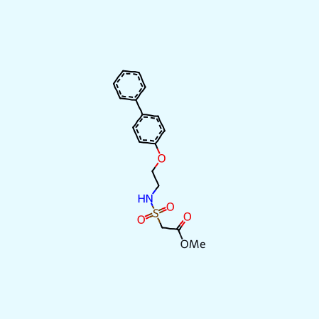 COC(=O)CS(=O)(=O)NCCOc1ccc(-c2ccccc2)cc1